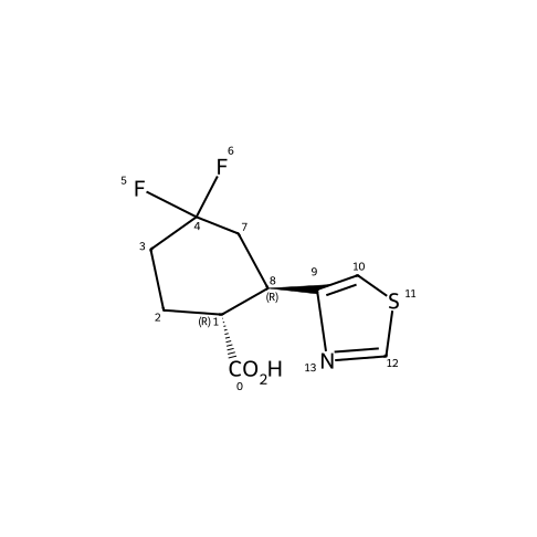 O=C(O)[C@@H]1CCC(F)(F)C[C@H]1c1cscn1